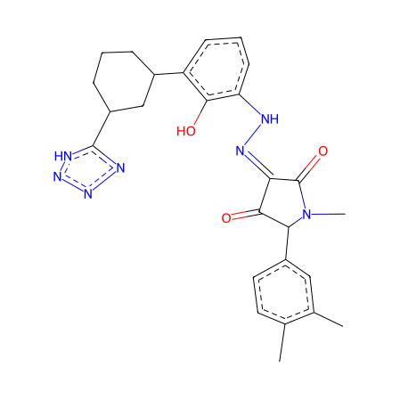 Cc1ccc(C2C(=O)C(=NNc3cccc(C4CCCC(c5nnn[nH]5)C4)c3O)C(=O)N2C)cc1C